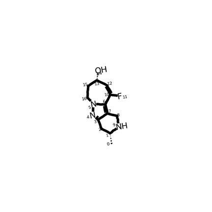 C[C@@H]1Cc2nn3c(c2CN1)C(F)=C[C@@H](O)CC3